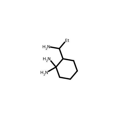 CCC(N)C1CCCCC1(N)N